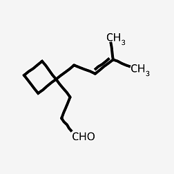 CC(C)=CCC1(CCC=O)CCC1